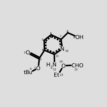 CC(C)(C)OC(=O)c1ccc(CO)nc1N.CCOC=O